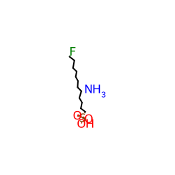 N.O=S(=O)(O)CCCCCCCCCCCCF